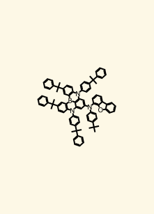 CC(C)(C)c1ccc(N(c2cc3c4c(c2)N(c2ccc(C(C)(C)c5ccccc5)cc2)c2ccc(C(C)(C)c5ccccc5)cc2B4c2cc(C(C)(C)c4ccccc4)ccc2N3c2ccc(C(C)(C)c3ccccc3)cc2)c2cccc3c2oc2ccccc23)cc1